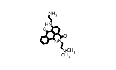 CN(C)CCn1nc2c3c(c(NCCN)ccc3c1=O)C(=O)c1ccccc1-2